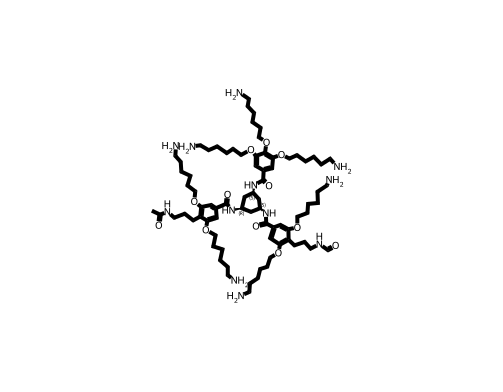 CC(=O)NCCCc1c(OCCCCCCN)cc(C(=O)N[C@@H]2C[C@H](NC(=O)c3cc(OCCCCCCN)c(CCCNC=O)c(OCCCCCCN)c3)C[C@H](NC(=O)c3cc(OCCCCCCN)c(OCCCCCCN)c(OCCCCCCN)c3)C2)cc1OCCCCCCN